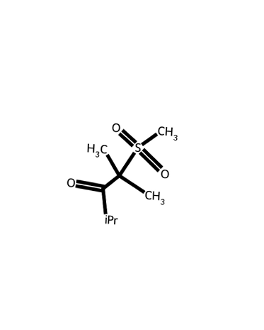 CC(C)C(=O)C(C)(C)S(C)(=O)=O